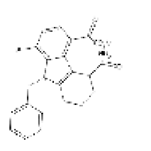 NC(=O)C1CCCc2c1c1c(C(=O)C(=O)O)ccc(F)c1n2Cc1ccccc1